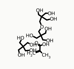 C=C(C)C(=O)O.OCC(CO)(CO)CO.OCC(CO)(CO)COCC(CO)(CO)CO